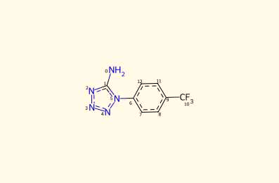 Nc1nnnn1-c1ccc(C(F)(F)F)cc1